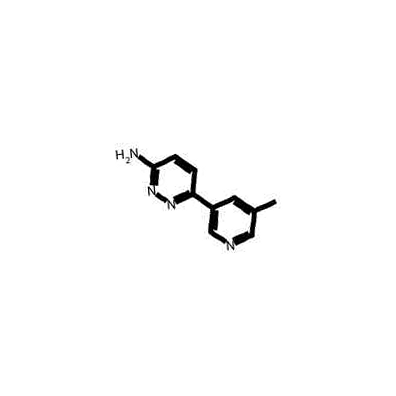 Cc1cncc(-c2ccc(N)nn2)c1